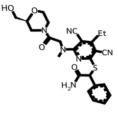 CCc1c(C#N)c(SC(C(N)=O)c2ccccc2)nc(N(C)CC(=O)N2CCO[C@H](CO)C2)c1C#N